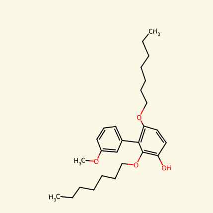 CCCCCCCOc1ccc(O)c(OCCCCCCC)c1-c1cccc(OC)c1